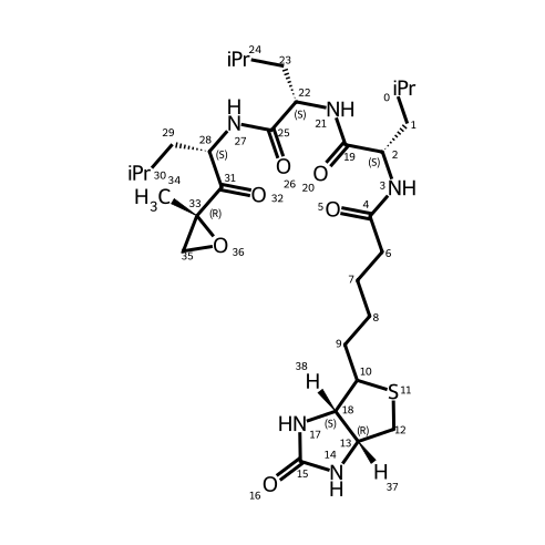 CC(C)C[C@H](NC(=O)CCCCC1SC[C@@H]2NC(=O)N[C@H]12)C(=O)N[C@@H](CC(C)C)C(=O)N[C@@H](CC(C)C)C(=O)[C@@]1(C)CO1